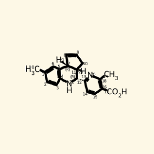 Cc1ccc2c(c1)[C@@H]1C=CC[C@@H]1[C@H](c1ccc(C(=O)O)c(C)n1)N2